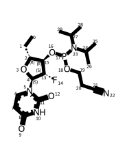 CC[C@H]1O[C@H](n2ccc(=O)[nH]c2=O)[C@@H](F)[C@@H]1OP(OCCC#N)N(C(C)C)C(C)C